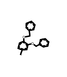 [CH]c1ccc(OCc2ccccc2)c(OCc2ccccc2)c1